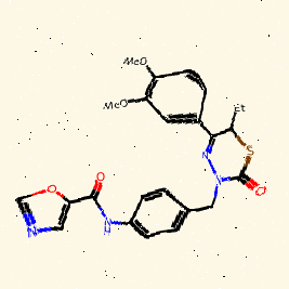 CCC1SC(=O)N(Cc2ccc(NC(=O)c3cnco3)cc2)N=C1c1ccc(OC)c(OC)c1